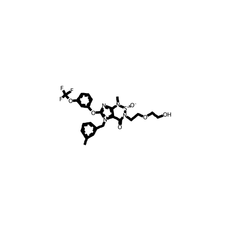 Cc1cccc(Cn2c(Oc3cccc(OC(F)(F)F)c3)nc3c2C(=O)N(CCOCCO)[S+]([O-])N3C)c1